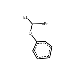 C[CH]C(CCC)Oc1ccccc1